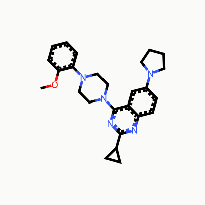 COc1ccccc1N1CCN(c2nc(C3CC3)nc3ccc(N4CCCC4)cc23)CC1